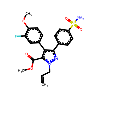 C=CCn1nc(-c2ccc(S(N)(=O)=O)cc2)c(-c2ccc(OC)c(F)c2)c1C(=O)OC